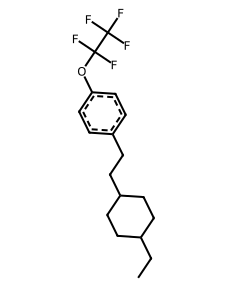 CCC1CCC(CCc2ccc(OC(F)(F)C(F)(F)F)cc2)CC1